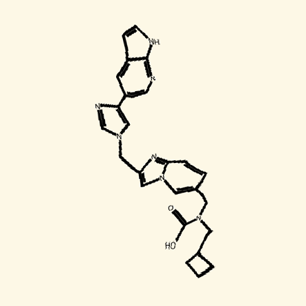 O=C(O)N(Cc1ccc2nc(Cn3cnc(-c4cnc5[nH]ccc5c4)c3)cn2c1)CC1CCC1